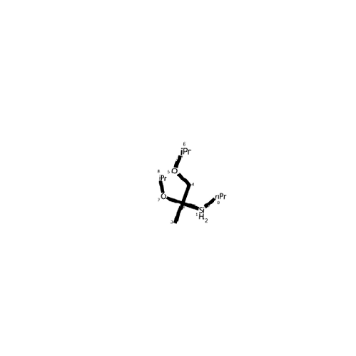 [CH2]CC[SiH2]C(C)(COC(C)C)OC(C)C